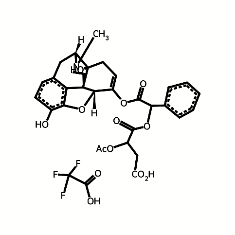 CC(=O)OC(CC(=O)O)C(=O)OC(C(=O)OC1=CC[C@@]2(O)[C@H]3Cc4ccc(O)c5c4[C@@]2(CCN3C)[C@H]1O5)c1ccccc1.O=C(O)C(F)(F)F